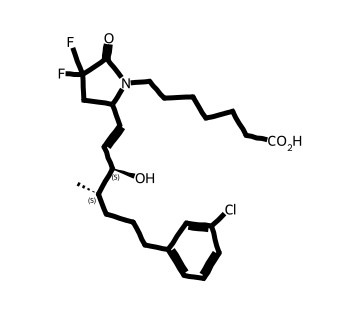 C[C@@H](CCCc1cccc(Cl)c1)[C@H](O)C=CC1CC(F)(F)C(=O)N1CCCCCCC(=O)O